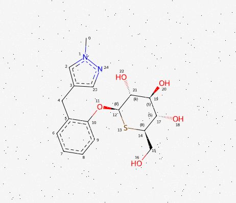 Cn1cc(Cc2ccccc2O[C@@H]2S[C@H](CO)[C@@H](O)[C@H](O)[C@H]2O)cn1